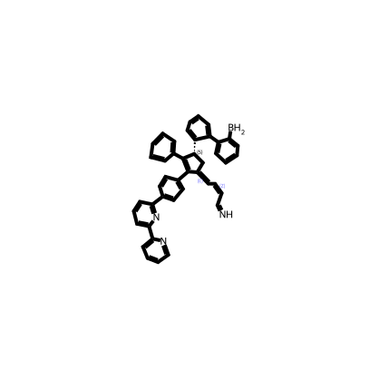 Bc1ccccc1-c1ccccc1[C@@H]1C/C(=C\C=C/C=N)C(c2ccc(-c3cccc(-c4ccccn4)n3)cc2)=C1c1ccccc1